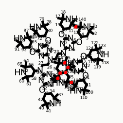 CC1(C)CC(Oc2nc(OC3CC(C)(C)NC(C)(C)C3)nc(N(CCN(CCN(c3nc(OC4CC(C)(C)NC(C)(C)C4)nc(OC4CC(C)(C)NC(C)(C)C4)n3)C3CC(C)(C)NC(C)(C)C3)c3nc(OC4CC(C)(C)NC(C)(C)C4)nc(OC4CC(C)(C)NC(C)(C)C4)n3)CCN(c3nc(OC4CC(C)(C)NC(C)(C)C4)nc(OC4CC(C)(C)NC(C)(C)C4)n3)C3CC(C)(C)NC(C)(C)C3)n2)CC(C)(C)N1